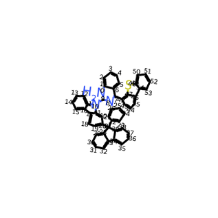 Nc1ccccc1/C(=N\Cn1c2ccccc2c2ccc(C3(c4ccccc4)c4ccccc4-c4ccccc43)cc21)c1cccc2c1sc1ccccc12